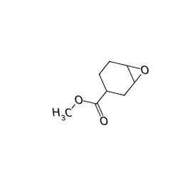 COC(=O)C1CCC2OC2C1